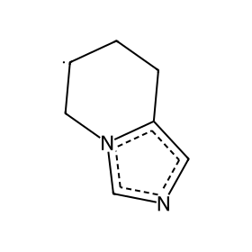 [CH]1CCc2cncn2C1